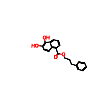 O=C(OCCCc1ccccc1)c1cccc2c(O)c(O)ccc12